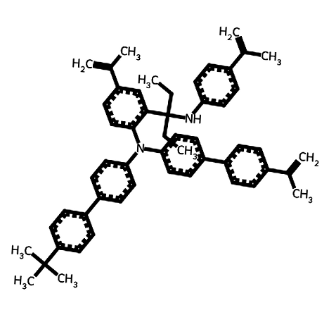 C=C(C)c1ccc(NC(CC)(CC)c2cc(C(=C)C)ccc2N(c2ccc(-c3ccc(C(=C)C)cc3)cc2)c2ccc(-c3ccc(C(C)(C)C)cc3)cc2)cc1